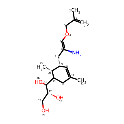 C=C(C)COC=C(N)C[C@@H]1C=C(C)CC([C@H](O)[C@H](O)CO)[C@@H]1C